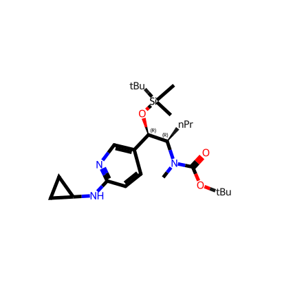 CCC[C@H]([C@H](O[Si](C)(C)C(C)(C)C)c1ccc(NC2CC2)nc1)N(C)C(=O)OC(C)(C)C